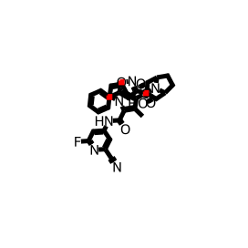 Cc1c(S(=O)(=O)N2C3CCC2CC(O)(c2cc(-c4ccccc4)on2)C3)c2n(c1C(=O)Nc1cc(F)nc(C#N)c1)CC=C2